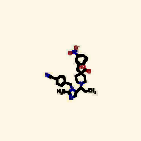 CCC(c1cnc(C)n1Cc1ccc(C#N)cc1)N1CCC(Cc2cccc([N+](=O)[O-])c2)(C(=O)O)CC1